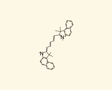 CN1/C(=C/C=C/C=C/C2=[N+](C)c3ccc4ccccc4c3C2(C)C)C(C)(C)c2c1ccc1ccccc21